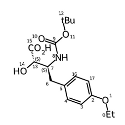 CCOc1ccc(C[C@H](NC(=O)OC(C)(C)C)[C@H](O)C(=O)O)cc1